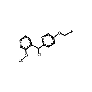 CCOc1ccccc1C(Cl)c1ccc(OCF)cc1